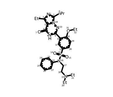 CCCc1nc(CC)c2c(=O)[nH]c(-c3cc(S(=O)(=O)N(CCN(CC)CC)c4ccccc4)ccc3OCC)nn12